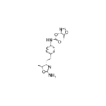 Cc1ocnc1OC(=O)Nc1ccc(CC[C@@H]2N=C(N)O[C@H]2C)cc1